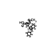 CC(=O)On1nc(C(=O)O)cc1-c1cn(Cc2ccccc2)c2ccccc12